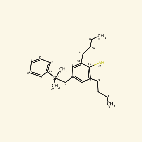 CCCCc1cc(C[Si](C)(C)c2ccccc2)cc(CCCC)c1S